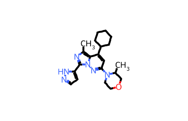 Cc1nc(-c2ccn[nH]2)n2nc(N3CCOCC3C)cc(C3CCCCC3)c12